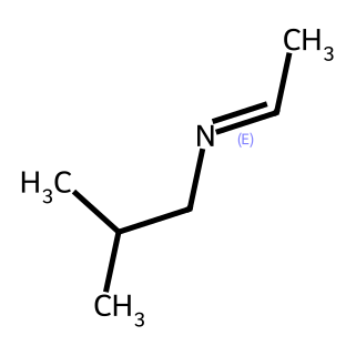 C/C=N/CC(C)C